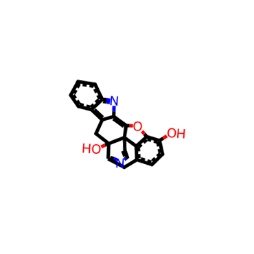 Oc1ccc2c3c1OC1=C4N=c5ccccc5=C4CC4(O)C(=NC=CC134)C2